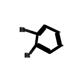 CCc1c[c][c]cc1CC